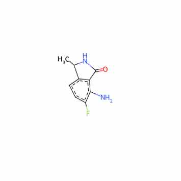 CC1NC(=O)c2c1ccc(F)c2N